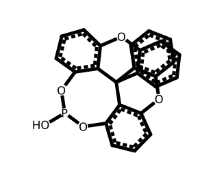 OP1Oc2cccc3c2C2(c4ccccc4O3)c3ccccc3Oc3cccc(c32)O1